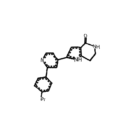 CC(C)c1ccc(-c2cc(-c3cc4c([nH]3)CCNC4=O)ccn2)cc1